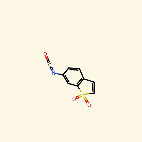 O=C=Nc1ccc2c(c1)S(=O)(=O)C=C2